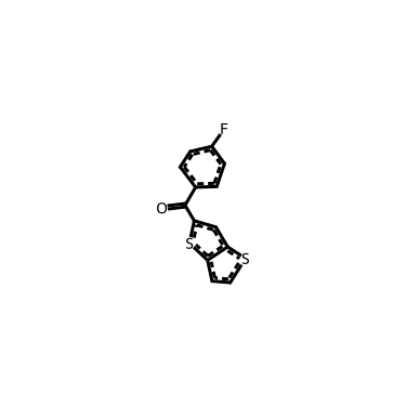 O=C(c1ccc(F)cc1)c1cc2sccc2s1